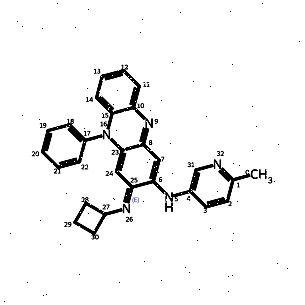 Cc1ccc(Nc2cc3nc4ccccc4n(-c4ccccc4)c-3c/c2=N\C2CCC2)cn1